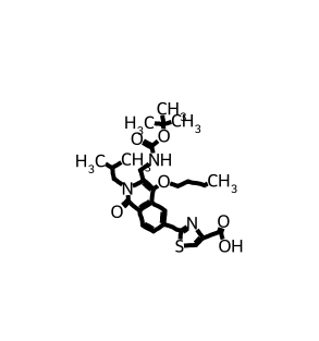 CCCCOc1c(CNC(=O)OC(C)(C)C)n(CC(C)C)c(=O)c2ccc(-c3nc(C(=O)O)cs3)cc12